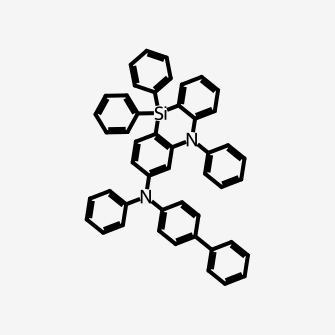 c1ccc(-c2ccc(N(c3ccccc3)c3ccc4c(c3)N(c3ccccc3)c3ccccc3[Si]4(c3ccccc3)c3ccccc3)cc2)cc1